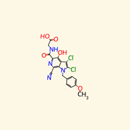 COc1ccc(Cn2c(Cl)c(Cl)c3c(O)c(C(=O)NCC(=O)O)nc(C#N)c32)cc1